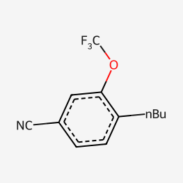 CCCCc1ccc(C#N)cc1OC(F)(F)F